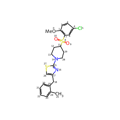 COc1ccc(Cl)cc1S(=O)(=O)C1CCN(c2nc(Cc3ccccc3C)cs2)CC1